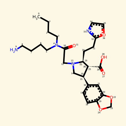 CCCCN(CCCCN)C(=O)CN1C[C@H](c2ccc3c(c2)OCO3)[C@@H](C(=O)O)[C@@H]1CCc1ncco1